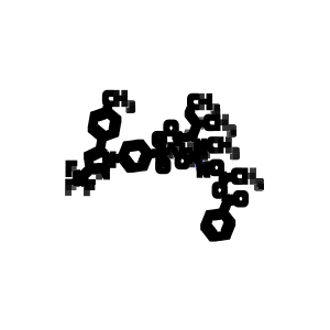 CC[C@@H](C)[C@@H](C(=O)NS(=O)(=O)c1ccc(-n2nc(C(F)(F)F)cc2-c2ccc(C)cc2)cc1)N(C)/[N+]([O-])=N\OC(C)OC(=O)c1ccccc1